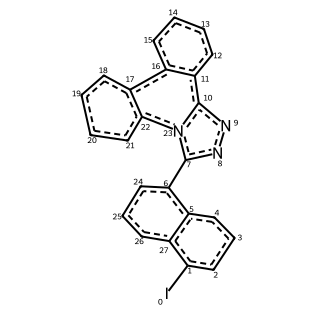 Ic1cccc2c(-c3nnc4c5ccccc5c5ccccc5n34)cccc12